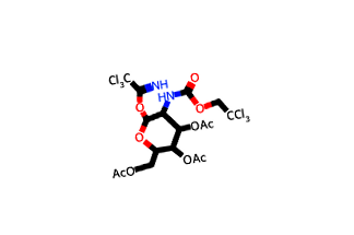 CC(=O)OCC1OC(OC(=N)C(Cl)(Cl)Cl)C(NC(=O)OCC(Cl)(Cl)Cl)C(OC(C)=O)C1OC(C)=O